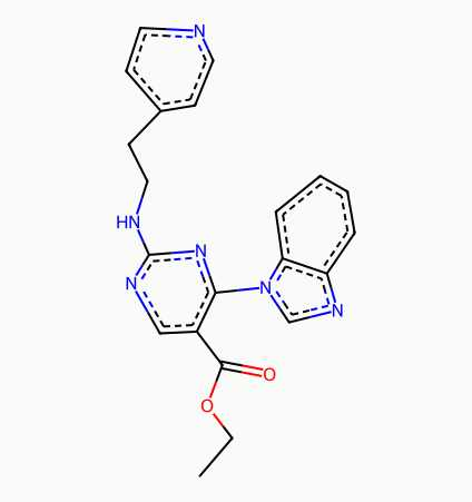 CCOC(=O)c1cnc(NCCc2ccncc2)nc1-n1cnc2ccccc21